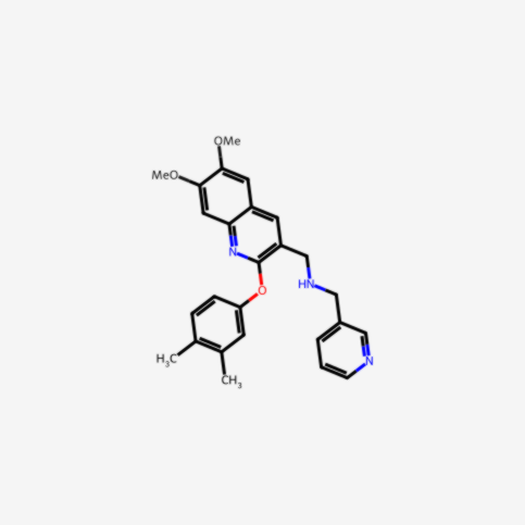 COc1cc2cc(CNCc3cccnc3)c(Oc3ccc(C)c(C)c3)nc2cc1OC